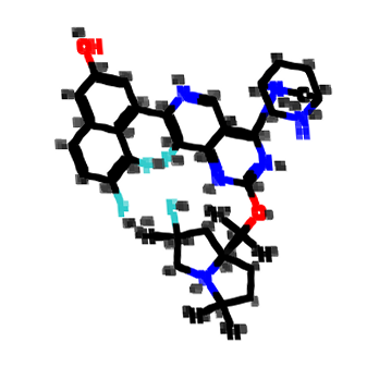 [2H]C1([2H])CC[C@@]2(C([2H])([2H])Oc3nc(N4CC5CCC4CN5)c4cnc(-c5cc(O)cc6ccc(F)c(F)c56)c(F)c4n3)C[C@@]([2H])(F)CN12